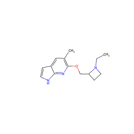 CCN1CCC1COc1nc2[nH]ccc2cc1C